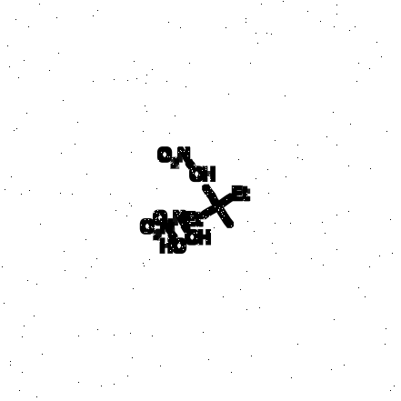 CCC(C)(C)CC.O=[N+]([O-])O.O=[N+]([O-])O.O=[N+]([O-])O